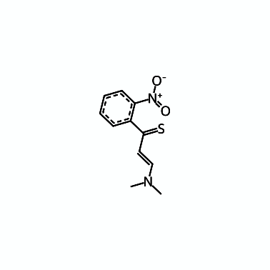 CN(C)C=CC(=S)c1ccccc1[N+](=O)[O-]